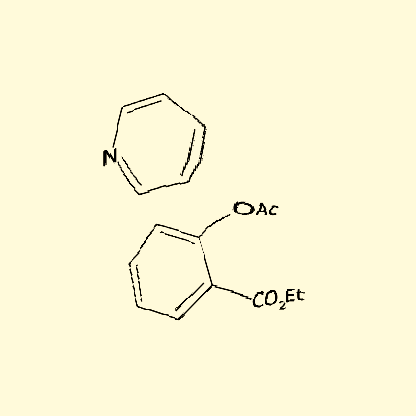 CCOC(=O)c1ccccc1OC(C)=O.c1ccncc1